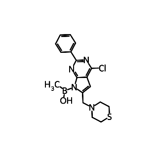 CB(O)n1c(CN2CCSCC2)cc2c(Cl)nc(-c3ccccc3)nc21